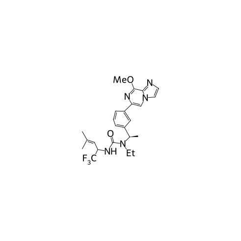 CCN(C(=O)NC(C=C(C)C)C(F)(F)F)[C@H](C)c1cccc(-c2cn3ccnc3c(OC)n2)c1